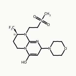 CS(=O)(=O)CCN1C2=NC(N3CCOCC3)C=C(O)N2CC[C@H]1C(F)(F)F